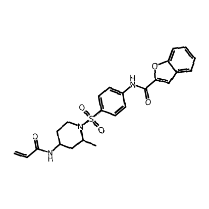 C=CC(=O)NC1CCN(S(=O)(=O)c2ccc(NC(=O)c3cc4ccccc4o3)cc2)C(C)C1